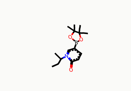 CCC(C)n1cc(B2OC(C)(C)C(C)(C)O2)ccc1=O